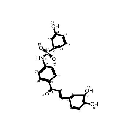 O=C(C=Cc1ccc(O)c(O)c1)c1ccc(NS(=O)(=O)c2cccc(O)c2)cc1